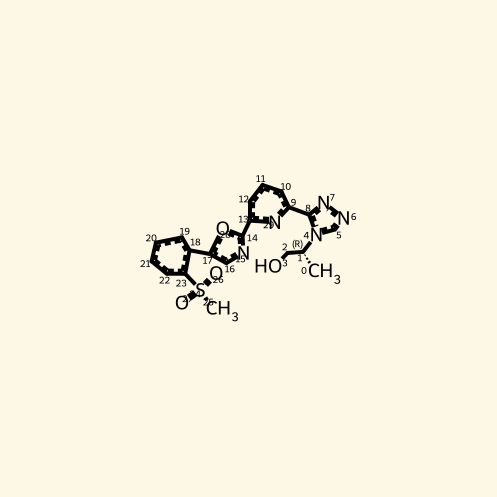 C[C@H](CO)n1cnnc1-c1cccc(-c2ncc(-c3ccccc3S(C)(=O)=O)o2)n1